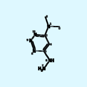 CN(C)c1cc(NN)nnn1